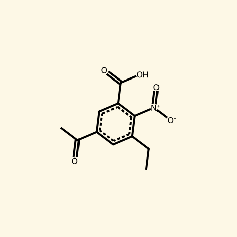 CCc1cc(C(C)=O)cc(C(=O)O)c1[N+](=O)[O-]